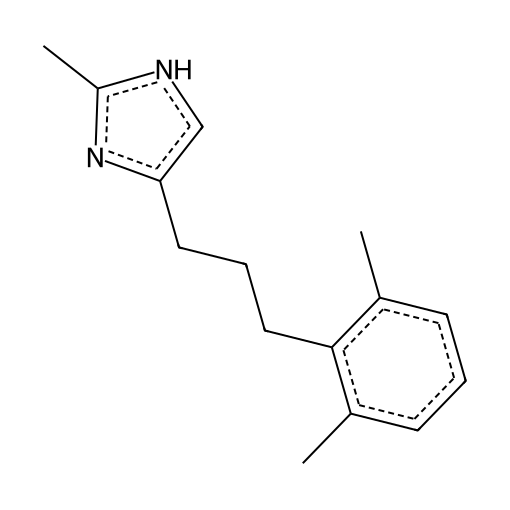 Cc1nc(CCCc2c(C)cccc2C)c[nH]1